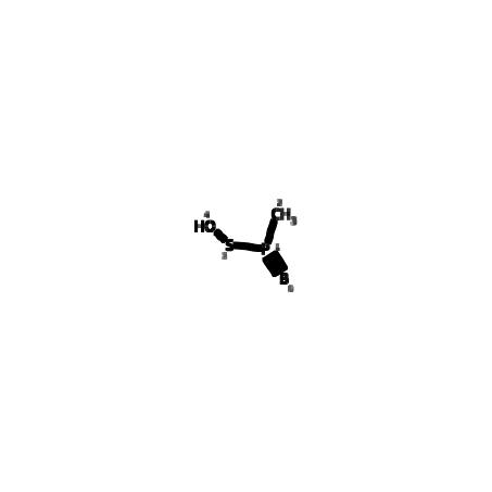 B#P(C)SO